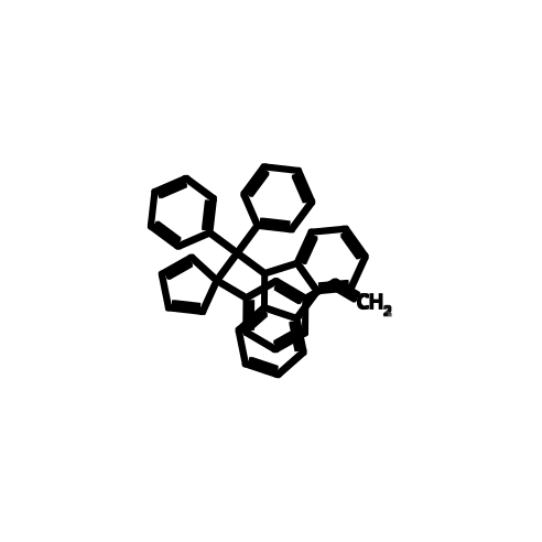 C=Cc1cccc(C2(C(c3ccccc3)(c3ccccc3)C3c4ccccc4-c4ccccc43)C=CC=C2)c1